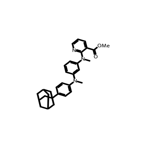 COC(=O)c1cccnc1N(C)c1cccc(N(C)c2ccc(C34CC5CC(CC(C5)C3)C4)cc2)c1